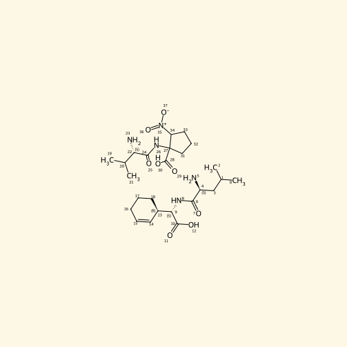 CC(C)C[C@H](N)C(=O)N[C@H](C(=O)O)[C@H]1C=CCCC1.CC(C)[C@H](N)C(=O)NC1(C(=O)O)CCCC1[N+](=O)[O-]